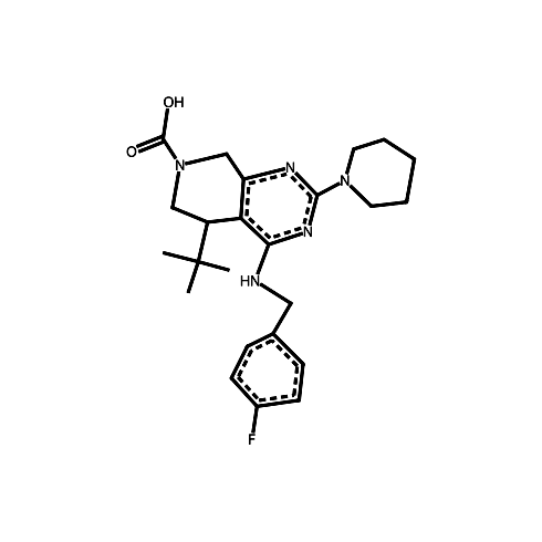 CC(C)(C)C1CN(C(=O)O)Cc2nc(N3CCCCC3)nc(NCc3ccc(F)cc3)c21